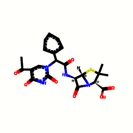 CC(=O)c1cn(C(C(=O)N[C@@H]2C(=O)N3[C@@H]2SC(C)(C)[C@@H]3C(=O)O)c2ccccc2)c(=O)[nH]c1=O